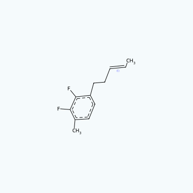 C/C=C/CCc1ccc(C)c(F)c1F